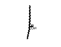 CCCCCCCCCCCCCCCC(CCCCCCCCCCC)C(=O)O